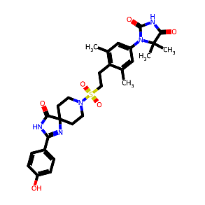 Cc1cc(N2C(=O)NC(=O)C2(C)C)cc(C)c1CCS(=O)(=O)N1CCC2(CC1)N=C(c1ccc(O)cc1)NC2=O